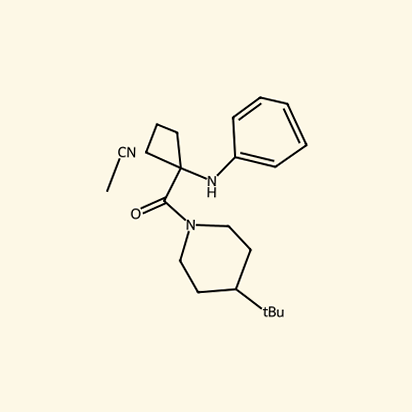 CC#N.CC(C)(C)C1CCN(C(=O)C2(Nc3ccccc3)CCC2)CC1